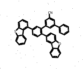 N#Cc1cc(-c2ccccc2)cc(-c2cc(-c3cccc4sc5ccccc5c34)ccc2-c2ccc3oc4ccccc4c3c2)c1